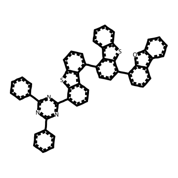 c1ccc(-c2nc(-c3ccccc3)nc(-c3cccc4c3sc3cccc(-c5ccc(-c6cccc7c6oc6ccccc67)c6sc7ccccc7c56)c34)n2)cc1